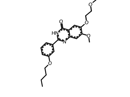 CCCCOc1cccc(-c2nc3cc(OC)c(OCCOC)cc3c(=O)[nH]2)c1